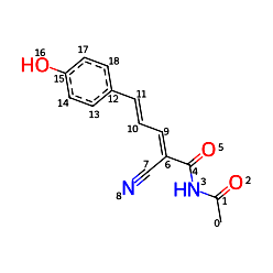 CC(=O)NC(=O)/C(C#N)=C/C=C/c1ccc(O)cc1